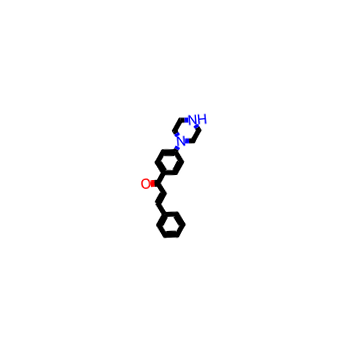 O=C(C=Cc1ccccc1)c1ccc(N2CCNCC2)cc1